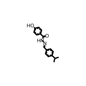 CC(C)c1ccc(C=NNC(=O)c2ccc(O)cc2)cc1